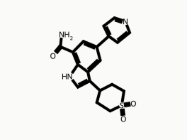 NC(=O)c1cc(-c2ccncc2)cc2c(C3CCS(=O)(=O)CC3)c[nH]c12